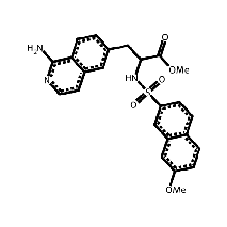 COC(=O)C(Cc1ccc2c(N)nccc2c1)NS(=O)(=O)c1ccc2ccc(OC)cc2c1